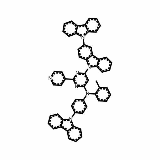 Cc1ccccc1N(c1ccc(-n2c3ccccc3c3ccccc32)cc1)c1cc(-n2c3ccccc3c3cc(-n4c5ccccc5c5ccccc54)ccc32)nc(-c2ccncc2)n1